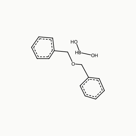 OBO.c1ccc(COCc2ccccc2)cc1